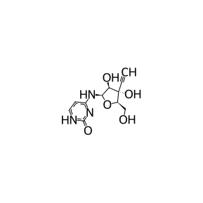 C#C[C@]1(O)[C@H](O)[C@H](Nc2cc[nH]c(=O)n2)O[C@@H]1CO